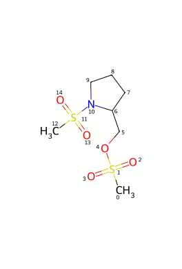 CS(=O)(=O)OCC1CCCN1S(C)(=O)=O